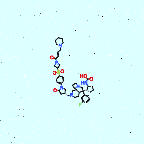 O=C(O)N[C@H]1CCC[C@@H]1[C@](CN1CCC1)(c1cccc(F)c1)C1CCN(C[C@@H]2CC(=O)N(c3ccc(S(=O)(=O)C4CN(C(=O)/C=C/CN5CCCCC5)C4)cc3)C2)CC1